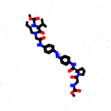 CCCCN(CC(=O)Nc1ccc(/N=N/c2ccc(NC(=O)[C@@H]3CCCN3C(=O)CNC(=O)OC)cc2)cc1)C(=O)[C@@H](NC(=O)OC)C(C)C